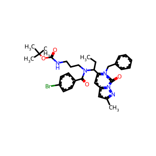 CCC(c1cc2cc(C)nn2c(=O)n1Cc1ccccc1)N(CCCNC(=O)OC(C)(C)C)C(=O)c1ccc(Br)cc1